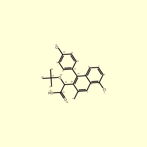 Cc1cc2c(Cl)cccc2c(-c2ccc(Cl)cc2)c1C(OC(C)(C)C)C(=O)O